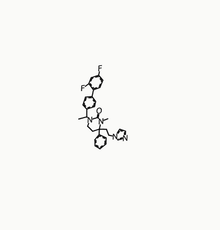 CC(c1ccc(-c2ccc(F)cc2F)cc1)N1CCC(CCn2ccnc2)(c2ccccc2)N(C)C1=O